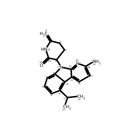 C=C1CCC(n2c3cccc(C(C)C)c3c3ccc(N)nc32)C(=O)N1